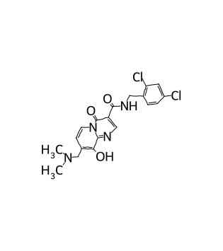 CN(C)Cc1ccn2c(=O)c(C(=O)NCc3ccc(Cl)cc3Cl)cnc2c1O